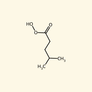 CC(C)CCC(=O)OO